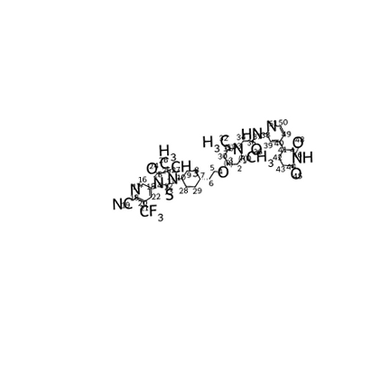 C[C@@H]1C[C@H](OCC[C@H]2CC[C@H](N3C(=S)N(c4cnc(C#N)c(C(F)(F)F)c4)C(=O)C3(C)C)CC2)C[C@H](C)N1CC(=O)Nc1cc(C2CCC(=O)NC2=O)ccn1